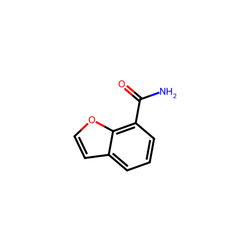 NC(=O)c1cccc2ccoc12